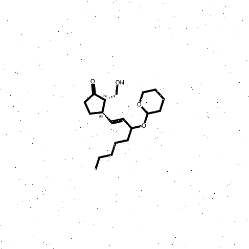 CCCCCC(C=C[C@H]1CCC(=O)[C@@H]1CO)OC1CCCCO1